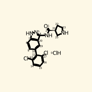 Cl.O=C(Nc1n[nH]c2ccc(-c3c(Cl)cccc3Cl)cc12)[C@H]1CCNC1